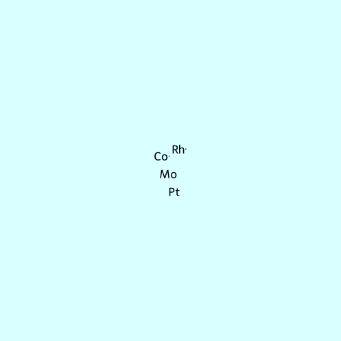 [Co].[Mo].[Pt].[Rh]